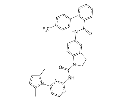 Cc1ccc(C)n1-c1cccc(NC(=O)N2CCc3cc(NC(=O)c4ccccc4-c4ccc(C(F)(F)F)cc4)ccc32)n1